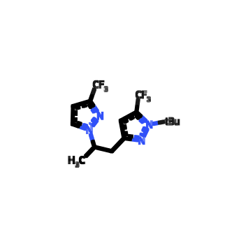 CC(Cc1cc(C(F)(F)F)n(C(C)(C)C)n1)n1ccc(C(F)(F)F)n1